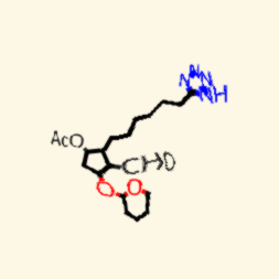 CC(=O)OC1CC(OC2CCCCO2)C(C=O)C1CCCCCCc1nnn[nH]1